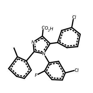 Cc1ccccc1-c1nc(C(=O)O)c(-c2cccc(Cl)c2)n1-c1cc(Cl)ccc1F